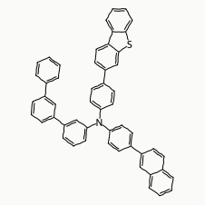 c1ccc(-c2cccc(-c3cccc(N(c4ccc(-c5ccc6ccccc6c5)cc4)c4ccc(-c5ccc6c(c5)sc5ccccc56)cc4)c3)c2)cc1